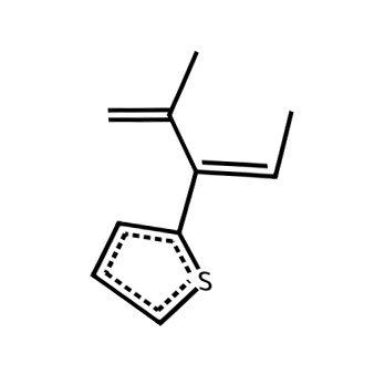 C=C(C)C(=CC)c1cccs1